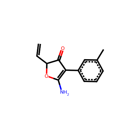 C=CC1OC(N)=C(c2cccc(C)c2)C1=O